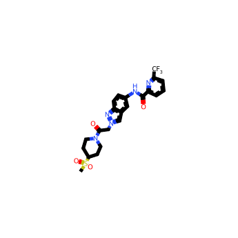 CS(=O)(=O)C1CCN(C(=O)Cn2cc3cc(NC(=O)c4cccc(C(F)(F)F)n4)ccc3n2)CC1